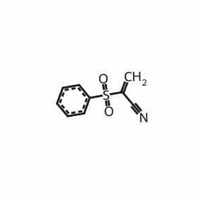 C=C(C#N)S(=O)(=O)c1ccccc1